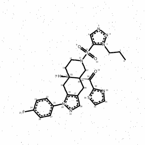 CCCn1nncc1S(=O)(=O)N1CC[C@H]2Cc3c(cnn3-c3ccc(F)cc3)C[C@]2(C(=O)c2nccs2)C1